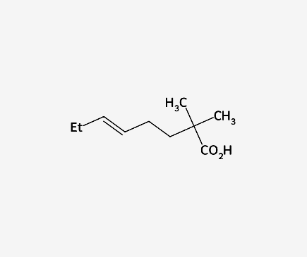 CC/C=C/CCC(C)(C)C(=O)O